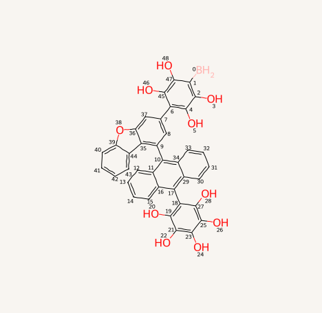 Bc1c(O)c(O)c(-c2cc(-c3c4ccccc4c(-c4c(O)c(O)c(O)c(O)c4O)c4ccccc34)c3c(c2)oc2ccccc23)c(O)c1O